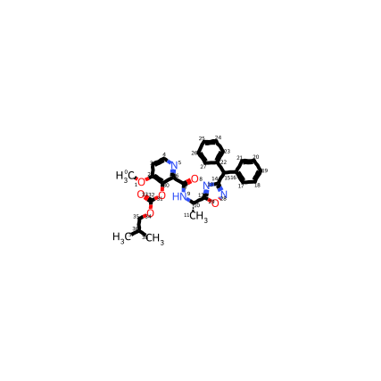 COc1ccnc(C(=O)N[C@@H](C)c2nc(C(c3ccccc3)c3ccccc3)no2)c1OC(=O)OCC(C)C